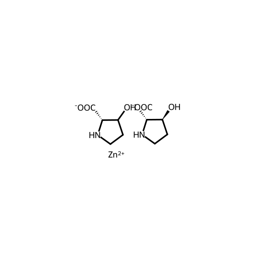 O=C([O-])[C@H]1NCCC1O.O=C([O-])[C@H]1NCC[C@@H]1O.[Zn+2]